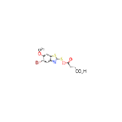 CCCOc1cc2sc(SOC(=O)CCC(=O)O)nc2cc1Br